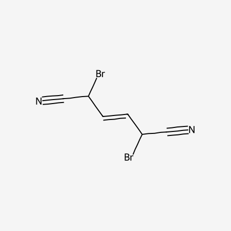 N#CC(Br)C=CC(Br)C#N